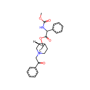 COC(=O)NC(C(=O)O[C@H]1C[N+]2(CC(=O)c3ccccc3)CCC1CC2)c1ccccc1